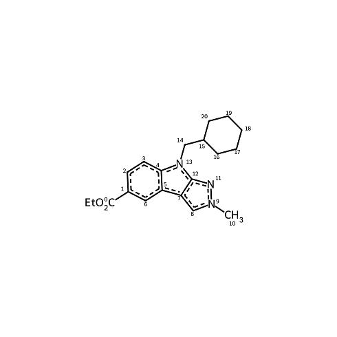 CCOC(=O)c1ccc2c(c1)c1cn(C)nc1n2CC1CCCCC1